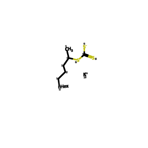 CCCCCCCCCC(C)SC(=S)[S-].[K+]